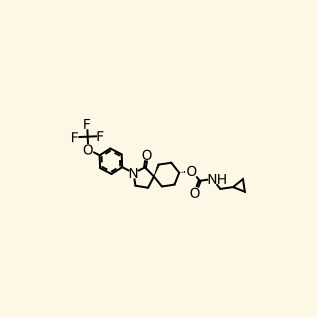 O=C(NCC1CC1)O[C@H]1CC[C@]2(CCN(c3ccc(OC(F)(F)F)cc3)C2=O)CC1